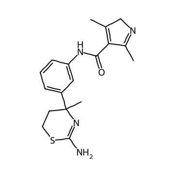 CC1=NCC(C)=C1C(=O)Nc1cccc(C2(C)CCSC(N)=N2)c1